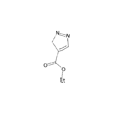 CCOC(=O)C1=CN=NC1